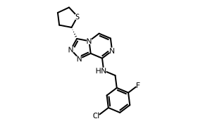 Fc1ccc(Cl)cc1CNc1nccn2c([C@@H]3CCCS3)nnc12